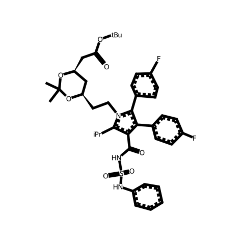 CC(C)c1c(C(=O)NS(=O)(=O)Nc2ccccc2)c(-c2ccc(F)cc2)c(-c2ccc(F)cc2)n1CC[C@@H]1C[C@H](CC(=O)OC(C)(C)C)OC(C)(C)O1